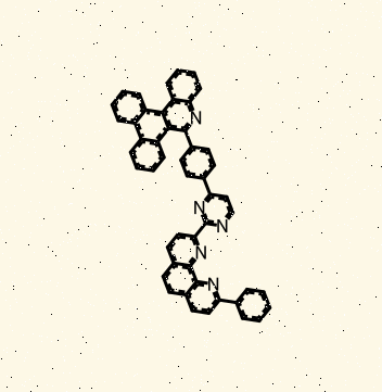 c1ccc(-c2ccc3ccc4ccc(-c5nccc(-c6ccc(-c7nc8ccccc8c8c9ccccc9c9ccccc9c78)cc6)n5)nc4c3n2)cc1